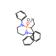 O=[N+]([O-])CC(Cc1ccccc1)P1(=O)N(c2ccccc2)CCCN1c1ccccc1